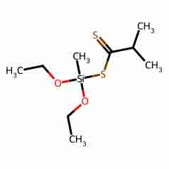 CCO[Si](C)(OCC)SC(=S)C(C)C